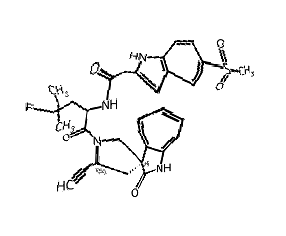 C#C[C@@H]1C[C@@]2(CN1C(=O)C(CC(C)(C)F)NC(=O)c1cc3cc(S(C)(=O)=O)ccc3[nH]1)C(=O)Nc1ccccc12